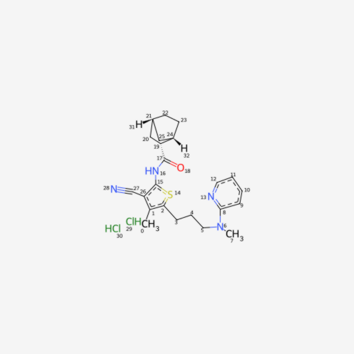 Cc1c(CCCN(C)c2ccccn2)sc(NC(=O)[C@@H]2C[C@@H]3CC[C@H]2C3)c1C#N.Cl.Cl